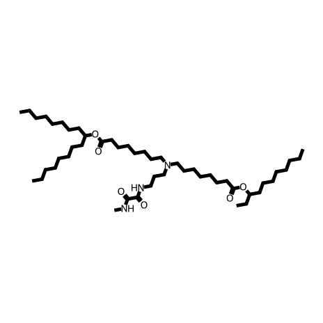 CCCCCCCCC(CC)OC(=O)CCCCCCCN(CCCCCCCC(=O)OC(CCCCCCCC)CCCCCCCC)CCCNC(=O)C(=O)NC